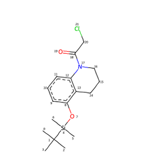 CC(C)(C)[Si](C)(C)Oc1cccc2c1CCCN2C(=O)CCl